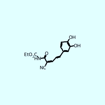 CCOC(=O)NC(=O)C(C#N)=CC=Cc1ccc(O)c(O)c1